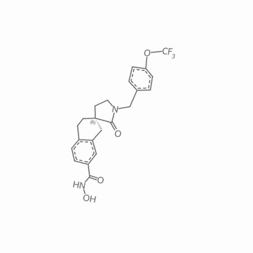 O=C(NO)c1ccc2c(c1)C[C@]1(CC2)CCN(Cc2ccc(OC(F)(F)F)cc2)C1=O